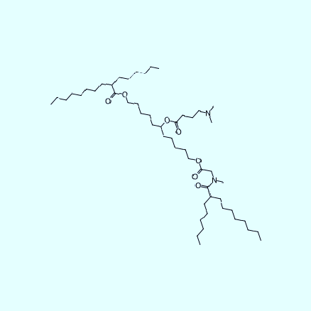 CCCCCCCCC(CCCCCC)C(=O)OCCCCCC(CCCCCOC(=O)CN(C)C(=O)C(CCCCCC)CCCCCCCC)OC(=O)CCCN(C)C